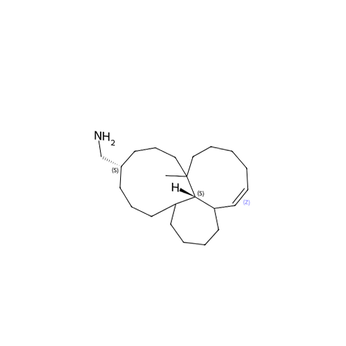 CC12CCCC/C=C\C3CCCCC(CCC[C@H](CN)CCC1)[C@@H]32